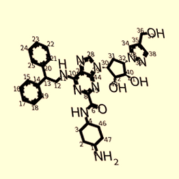 NC1CCC(NC(=O)c2nc(NCC(c3ccccc3)c3ccccc3)c3ncn([C@@H]4C[C@H](n5cc(CO)cn5)[C@@H](O)[C@H]4O)c3n2)CC1